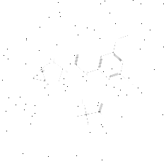 COc1cc(Br)nc(NC(=O)[C@@H]2C[C@@]3(C)C[C@H]3N2)c1.O=C(O)C(F)(F)F